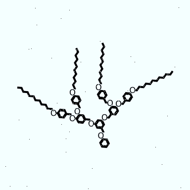 CCCCCCCCCCCCOc1ccc(COc2ccc(COc3cc(COc4ccccc4)cc(OCc4ccc(OCc5ccc(OCCCCCCCCCCCC)cc5)c(OCc5ccc(OCCCCCCCCCCCC)cc5)c4)c3)cc2OCc2ccc(OCCCCCCCCCCCC)cc2)cc1